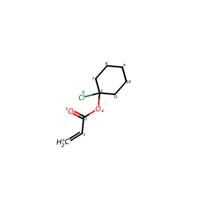 C=CC(=O)OC1(Cl)CCCCC1